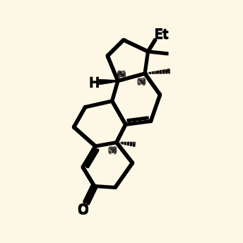 CCC1(C)CC[C@H]2C3CCC4=CC(=O)CC[C@]4(C)C3=CC[C@@]21C